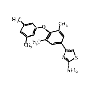 Cc1cc(C)cc(Oc2c(C)cc(-c3csc(N)n3)cc2C)c1